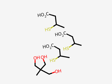 CC(CO)(CO)CO.CC(S)CC(=O)O.CC(S)CC(=O)O.CC(S)CC(=O)O